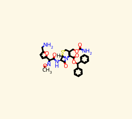 CON=C(C(=O)N[C@@H]1C(=O)N2C(C(=O)OC(c3ccccc3)c3ccccc3)=C(COC(N)=O)CS[C@@H]12)c1ccc(CN)o1